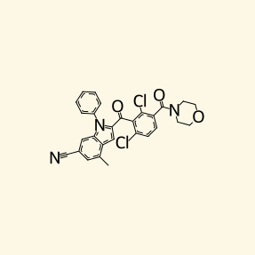 Cc1cc(C#N)cc2c1cc(C(=O)c1c(Cl)ccc(C(=O)N3CCOCC3)c1Cl)n2-c1ccccc1